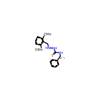 COc1cccc(OC)c1CNNC(=S)N[C@H](C)c1ccccc1